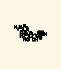 Cc1c(N)ncnc1N[C@@H]1O[C@H](COP(=O)(O)O)[C@@H](O)[C@H]1O